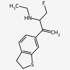 C=C(c1ccc2c(c1)SCC2)C(CF)NCC